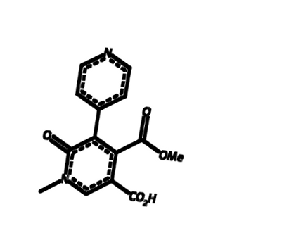 COC(=O)c1c(C(=O)O)cn(C)c(=O)c1-c1ccncc1